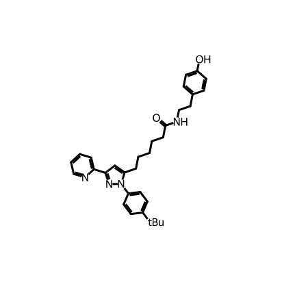 CC(C)(C)c1ccc(-n2nc(-c3ccccn3)cc2CCCCCC(=O)NCCc2ccc(O)cc2)cc1